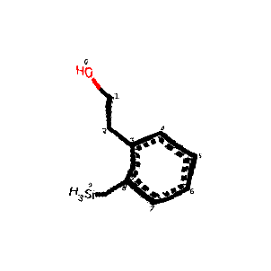 OCCc1ccccc1[SiH3]